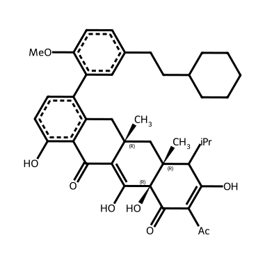 COc1ccc(CCC2CCCCC2)cc1-c1ccc(O)c2c1C[C@]1(C)C[C@]3(C)C(C(C)C)C(O)=C(C(C)=O)C(=O)[C@]3(O)C(O)=C1C2=O